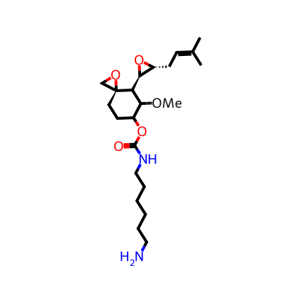 COC1C(OC(=O)NCCCCCCN)CC[C@]2(CO2)C1[C@H]1O[C@@H]1CC=C(C)C